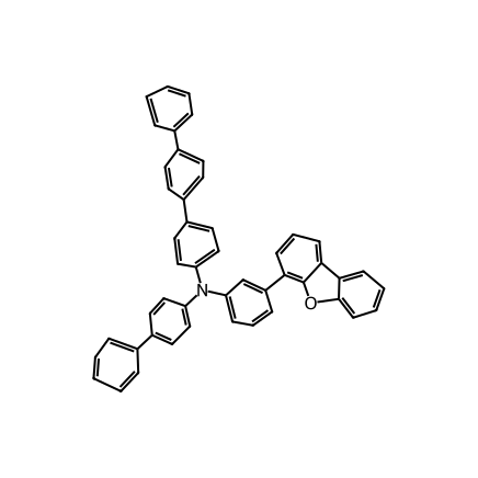 c1ccc(-c2ccc(-c3ccc(N(c4ccc(-c5ccccc5)cc4)c4cccc(-c5cccc6c5oc5ccccc56)c4)cc3)cc2)cc1